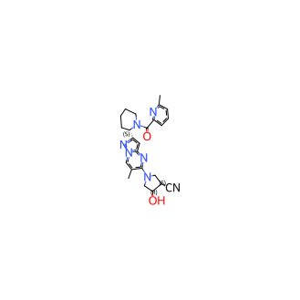 Cc1cccc(C(=O)N2CCCC[C@H]2c2cc3nc(N4C[C@@H](C#N)[C@@H](O)C4)c(C)cn3n2)n1